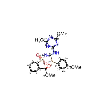 COC(=O)c1ccccc1S(=O)(=O)N=C(Nc1nc(C)nc(OC)n1)Sc1ccc(OC)cc1